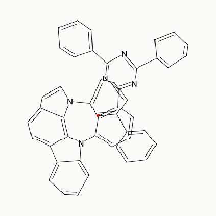 c1ccc(-c2cccc(-n3ccc4ccc5c6ccccc6n(-c6cccc(-c7nc(-c8ccccc8)nc(-c8ccccc8)n7)c6)c5c43)c2)cc1